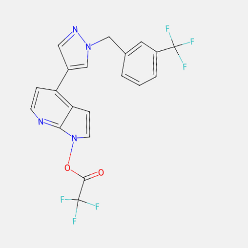 O=C(On1ccc2c(-c3cnn(Cc4cccc(C(F)(F)F)c4)c3)ccnc21)C(F)(F)F